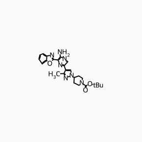 Cc1nn(C2CCN(C(=O)OC(C)(C)C)CC2)cc1-c1cnc(N)c(-c2nc3ccccc3o2)n1